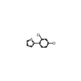 Clc1ccc(-c2c[c]cs2)c(Cl)c1